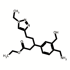 CCOC(=O)CC(CCc1cn(CC)nn1)c1ccc(CN)c(CO)c1